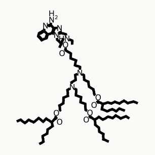 CCCCCCCCC(CCCCCC)C(=O)OCCCCCCN(CCCCCCOC(=O)C(CCCCCC)CCCCCCCC)CCCN(CCCCCCOC(=O)C(CCCCCC)CCCCCCCC)CCCCCC(=O)OC(C)(C)Cn1c(CNCC)nc2c(N)nc3ccccc3c21